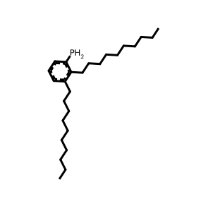 CCCCCCCCCCc1cccc(P)c1CCCCCCCCCC